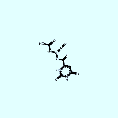 [N-]=[N+]=[N+](NC(=O)O)OC(=O)c1cc(=O)[nH]c(=O)[nH]1